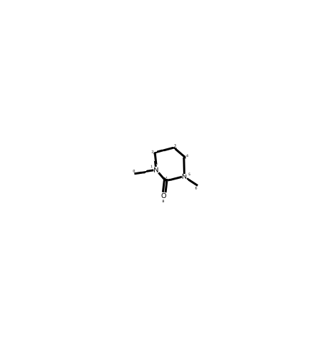 CN1C[CH]CN(C)C1=O